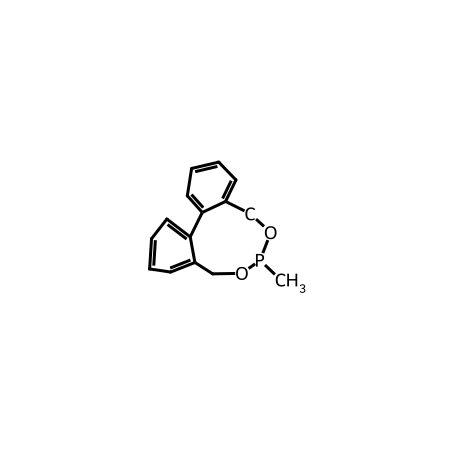 CP1OCc2ccccc2-c2ccccc2CO1